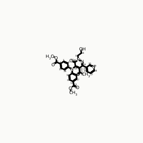 COC(=O)c1ccc(N(c2ccc(C(=O)OC)cc2)c2c(C(C)=O)c(-c3cccnc3)nn(CCO)c2=O)cc1